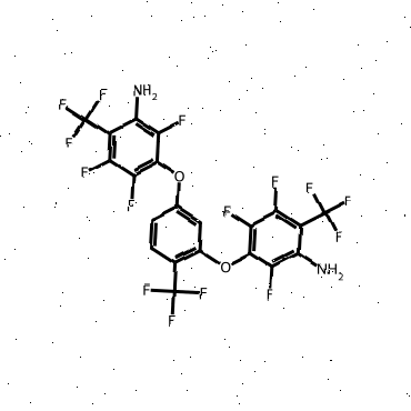 Nc1c(F)c(Oc2ccc(C(F)(F)F)c(Oc3c(F)c(N)c(C(F)(F)F)c(F)c3F)c2)c(F)c(F)c1C(F)(F)F